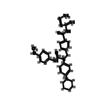 N=C(/N=N\N)NC(=O)c1ccc(CN(C(=O)Nc2ccc(OC(F)(F)F)cc2)c2ccc(N3CCCCC3)cc2)cc1